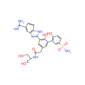 N=C(N)c1ccc2[nH]c(-c3cc(CC(=O)NC(CO)CO)cc(-c4cc(S(N)(=O)=O)ccc4O)c3O)nc2c1